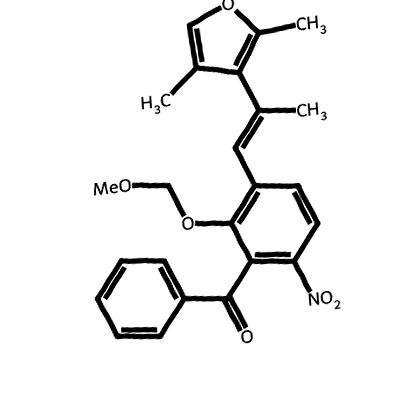 COCOc1c(/C=C(\C)c2c(C)coc2C)ccc([N+](=O)[O-])c1C(=O)c1ccccc1